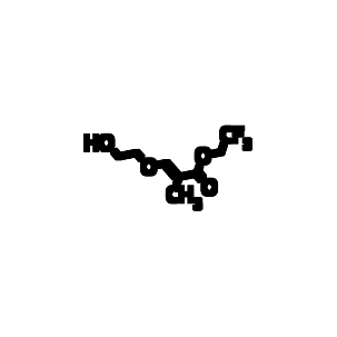 CC(=COCCO)C(=O)OCC(F)(F)F